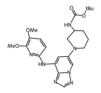 COc1ccc(Nc2cc(N3CCCC(NC(=O)OC(C)(C)C)C3)cn3ncnc23)nc1OC